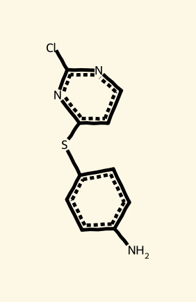 Nc1ccc(Sc2ccnc(Cl)n2)cc1